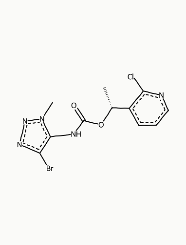 C[C@@H](OC(=O)Nc1c(Br)nnn1C)c1cccnc1Cl